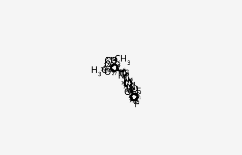 COc1cc(-c2csc(N3CCN(S(=O)(=O)c4ccc(F)cc4F)CC3)n2)cc(OC)c1OC